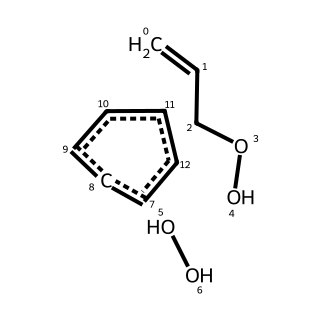 C=CCOO.OO.c1ccccc1